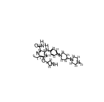 CCc1nc(C(N)=O)c(Nc2ccc(N3CCC(N4CCN(C)CC4)CC3)cc2)nc1OC1CNC1